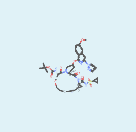 COc1ccc2c(OC3C[C@H]4C(=O)N[C@]5(C(=O)NS(=O)(=O)C6CC6)C[C@H]5/C=C\CCCOC[C@H](NC(=O)OC(C)(C)C)C(=O)N4C3)nc(-n3cccn3)cc2c1